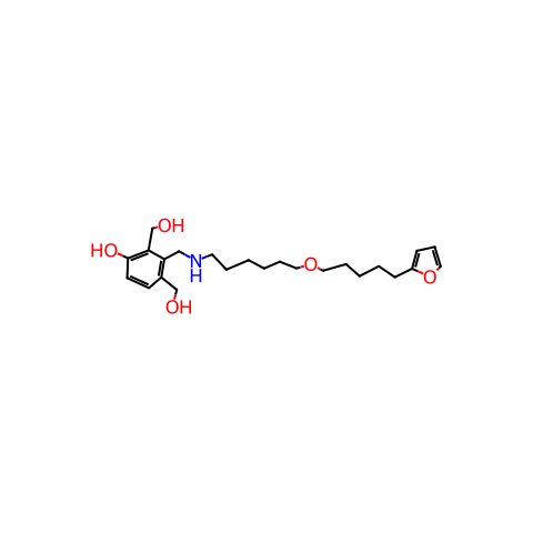 OCc1ccc(O)c(CO)c1CNCCCCCCOCCCCCc1ccco1